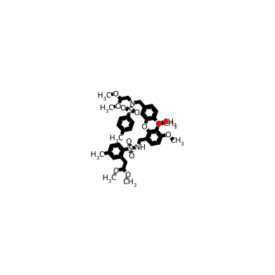 COc1ccc(CN(CC(OC)OC)S(=O)(=O)c2ccc(C)cc2)cc1Oc1c(CNS(=O)(=O)c2ccc(C)cc2CC(OC)OC)ccc(OC)c1OC